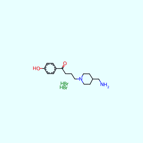 Br.Br.NCC1CCN(CCCC(=O)c2ccc(O)cc2)CC1